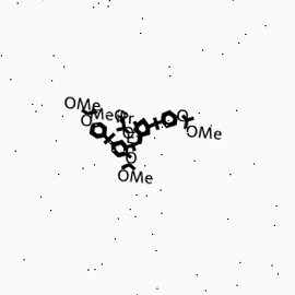 CCC(C)(Cc1cc(C(C)(C)c2ccc(OC(C)COC)cc2)cc(C(C)C)c1OC(C)COC)c1cc(C(C)(C)c2ccc(OC(C)COC)cc2)ccc1OC(C)COC